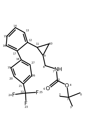 CC(C)(C)OC(=O)NCC1CC1c1ccccc1-c1ccc(C(F)(F)F)cc1